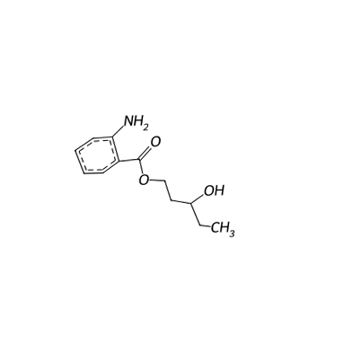 CCC(O)CCOC(=O)c1ccccc1N